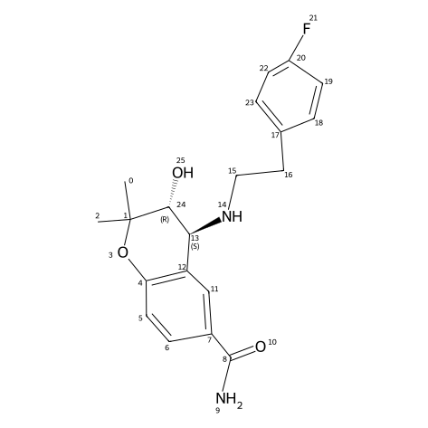 CC1(C)Oc2ccc(C(N)=O)cc2[C@H](NCCc2ccc(F)cc2)[C@H]1O